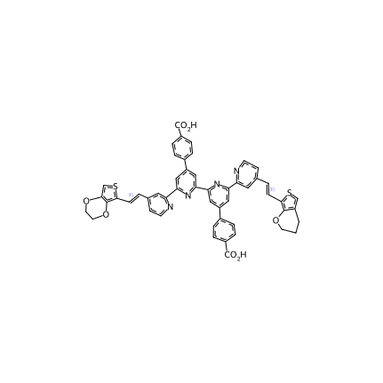 O=C(O)c1ccc(-c2cc(-c3cc(/C=C/c4scc5c4OCCC5)ccn3)nc(-c3cc(-c4ccc(C(=O)O)cc4)cc(-c4cc(/C=C/c5scc6c5OCCO6)ccn4)n3)c2)cc1